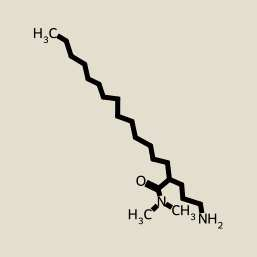 CCCCCCCCCCCCCCC(CCCN)C(=O)N(C)C